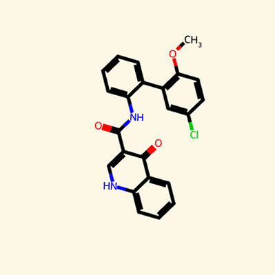 COc1ccc(Cl)cc1-c1ccccc1NC(=O)c1c[nH]c2ccccc2c1=O